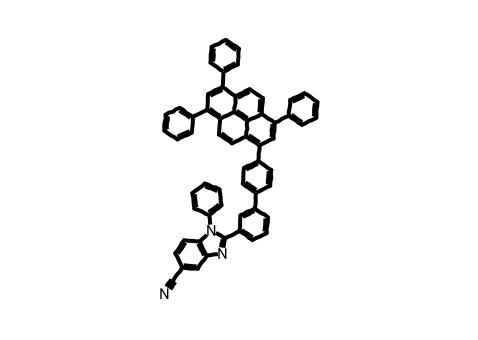 N#Cc1ccc2c(c1)nc(-c1cccc(-c3ccc(-c4cc(-c5ccccc5)c5ccc6c(-c7ccccc7)cc(-c7ccccc7)c7ccc4c5c67)cc3)c1)n2-c1ccccc1